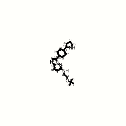 CC(C)(C)OCCNc1ccc2ncc(-c3ccc(C4CCCN4)cc3)n2n1